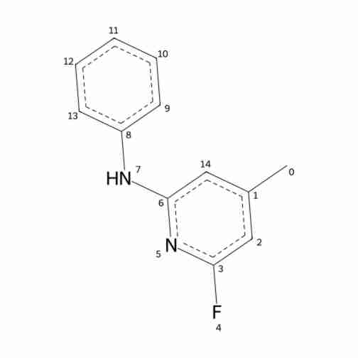 Cc1cc(F)nc(Nc2ccccc2)c1